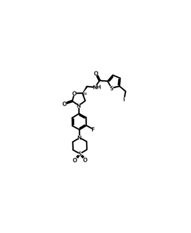 O=C(NC[C@H]1CN(c2ccc(N3CCS(=O)(=O)CC3)c(F)c2)C(=O)O1)c1ccc(CI)s1